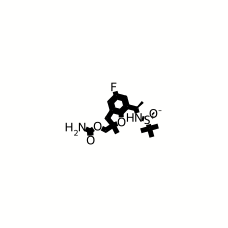 C[C@@H](N[S@+]([O-])C(C)(C)C)c1cc(F)cc2c1OC(C)(COC(N)=O)C2